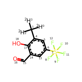 [2H]C([2H])([2H])c1cc(S(F)(F)(F)(F)F)cc(C=O)c1O